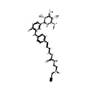 C#CCN(C)CCNC(=O)CCC/C=C/c1ccc(Cc2cc([C@@H]3O[C@H](SC)[C@@H](O)[C@H](O)[C@H]3O)ccc2C)cc1